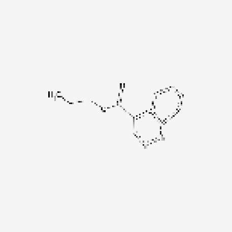 CCCOC(=O)c1cnnc2ccccc12